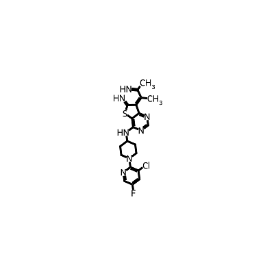 CC(=N)/C(C)=C1\C(=N)Sc2c(NC3CCN(c4ncc(F)cc4Cl)CC3)ncnc21